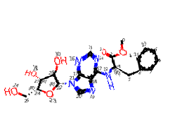 COC(=O)[C@@H](Cc1ccccc1)Nc1ncnc2c1ncn2[C@@H]1O[C@H](CO)[C@H](O)C1O